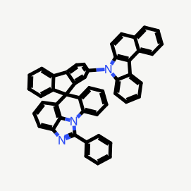 c1ccc(-c2nc3cccc4c3n2-c2ccccc2C42c3ccccc3-c3ccc(-n4c5ccccc5c5c6ccccc6ccc54)cc32)cc1